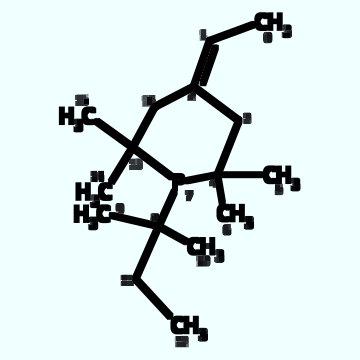 CC=C1CC(C)(C)P(C(C)(C)CC)C(C)(C)C1